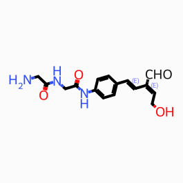 NCC(=O)NCC(=O)Nc1ccc(/C=C/C(C=O)=C\CO)cc1